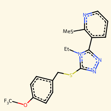 CCn1c(SCc2ccc(OC(F)(F)F)cc2)nnc1-c1cccnc1SC